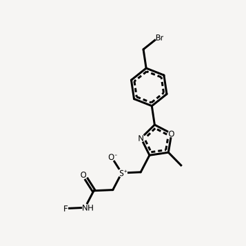 Cc1oc(-c2ccc(CBr)cc2)nc1C[S+]([O-])CC(=O)NF